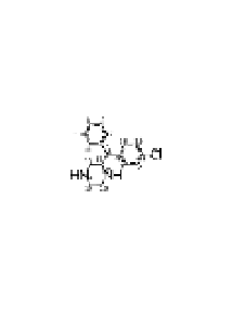 Clc1ccc(C(c2ccccc2)C2CNCCN2)cc1